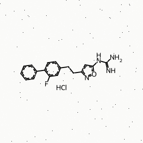 Cl.N=C(N)Nc1cc(CCc2ccc(-c3ccccc3)c(F)c2)no1